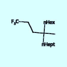 CCCCCCCC(C)(CCCCCC)CCC(F)(F)F